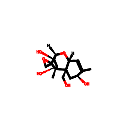 CC1=C[C@H]2O[C@@H]3[C@H](O)[C@@H](O)[C@@](C)(C34CO4)[C@@]2(CO)C[C@@H]1O